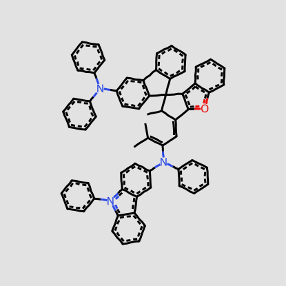 CC(C)=C(/C=C1/c2oc3ccccc3c2C2(c3ccccc3-c3cc(N(c4ccccc4)c4ccccc4)ccc32)C1C)N(c1ccccc1)c1ccc2c(c1)c1ccccc1n2-c1ccccc1